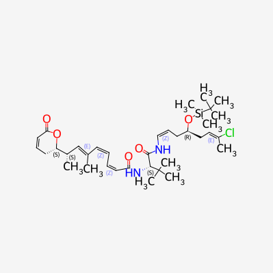 C/C(Cl)=C\C[C@@H](C/C=C\NC(=O)[C@@H](NC(=O)\C=C/C=C\C(C)=C\[C@H](C)[C@@H]1CC=CC(=O)O1)C(C)(C)C)O[Si](C)(C)C(C)(C)C